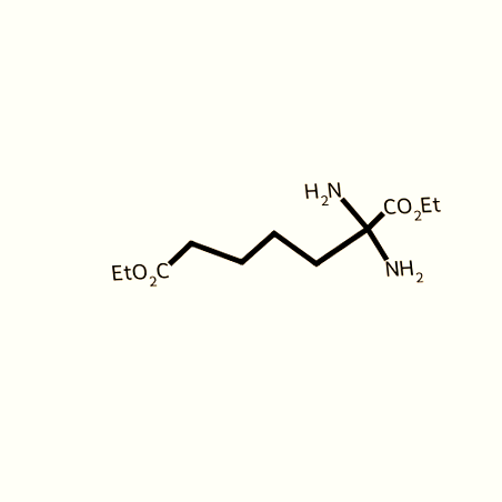 CCOC(=O)CCCCC(N)(N)C(=O)OCC